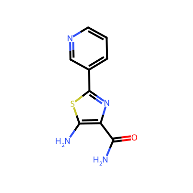 NC(=O)c1nc(-c2cccnc2)sc1N